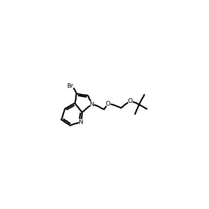 CC(C)(C)OCOCn1cc(Br)c2cccnc21